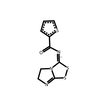 O=C(/N=C1/SSC2=NCCN21)c1cccs1